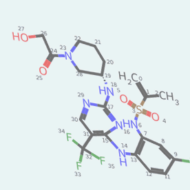 C=C(C)S(=O)(=O)Nc1cc(F)ccc1Nc1nc(N[C@H]2CCCN(C(=O)CO)C2)ncc1C(F)(F)F